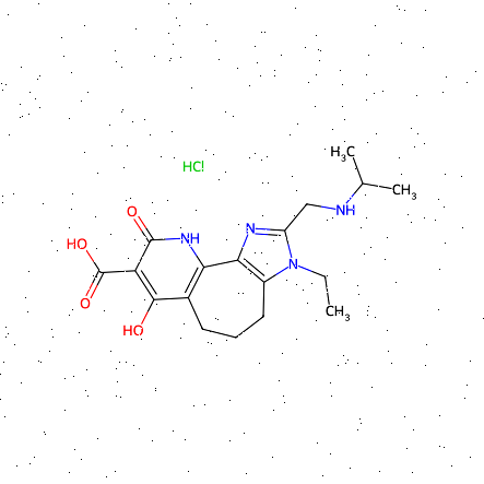 CCn1c(CNC(C)C)nc2c1CCCc1c-2[nH]c(=O)c(C(=O)O)c1O.Cl